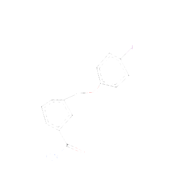 NC(=O)c1cccc(COc2ccc(I)cc2)c1